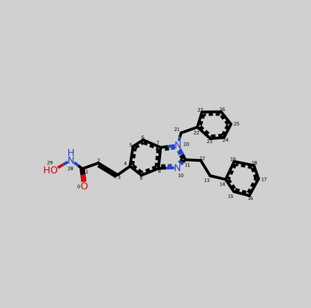 O=C(C=Cc1ccc2c(c1)nc(CCc1ccccc1)n2Cc1ccccc1)NO